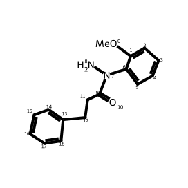 COc1ccccc1N(N)C(=O)CCc1ccccc1